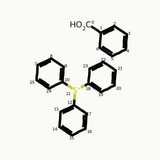 O=C(O)c1ccccc1.c1ccc([S+](c2ccccc2)c2ccccc2)cc1